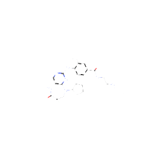 Cc1cc(C(=O)NCCN(C)C)ccc1Nc1ncc2c(n1)N(C1CCCC1)CC(F)(F)C(=O)N2C